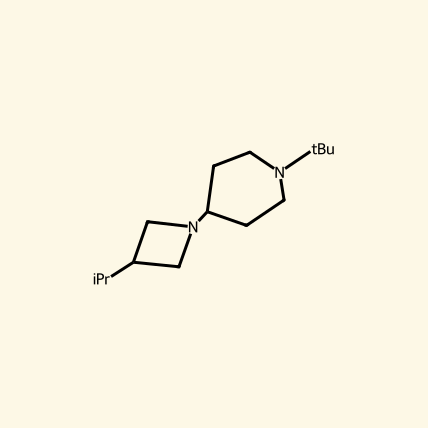 CC(C)C1CN(C2CCN(C(C)(C)C)CC2)C1